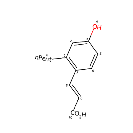 CCCCCc1cc(O)ccc1C=CC(=O)O